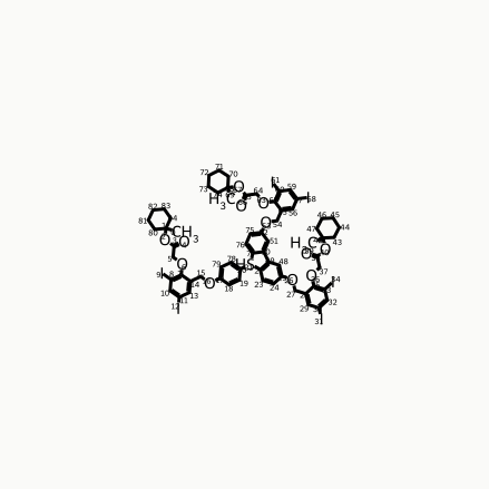 CC1(OC(=O)COc2c(I)cc(I)cc2COc2ccc([SH]3c4ccc(OCc5cc(I)cc(I)c5OCC(=O)OC5(C)CCCCC5)cc4-c4cc(OCc5cc(I)cc(I)c5OCC(=O)OC5(C)CCCCC5)ccc43)cc2)CCCCC1